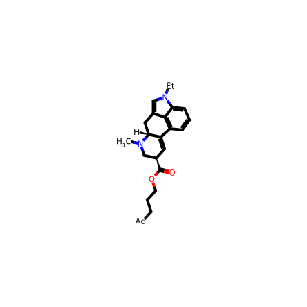 CCn1cc2c3c(cccc31)C1=C[C@@H](C(=O)OCCCC(C)=O)CN(C)[C@@H]1C2